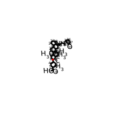 CC1C(C2=CCC(C(=O)O)CC2)=CCC2(C)C1CCC1(C)C2CCC2C3CCCC3(NCCCN3CCCC3=O)CC[C@]21C